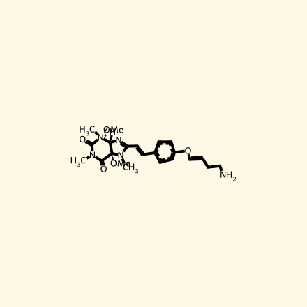 CO[C@]12C(=O)N(C)C(=O)[N@+](C)(OC)[C@@H]1N=C(C=Cc1ccc(OC=CCCN)cc1)N2C